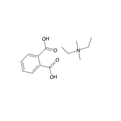 CC[N+](C)(C)CC.O=C(O)c1ccccc1C(=O)O